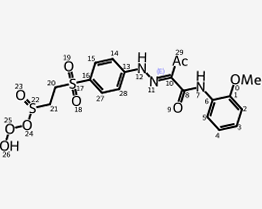 COc1ccccc1NC(=O)/C(=N/Nc1ccc(S(=O)(=O)CCS(=O)OOO)cc1)C(C)=O